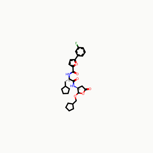 O=C1C[C@H](NC(=O)[C@H](CC2CCCC2)NC(=O)c2ccc(-c3cccc(F)c3)o2)C(OCC2CCCC2)O1